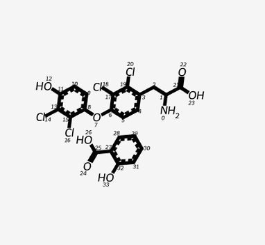 NC(Cc1ccc(Oc2ccc(O)c(Cl)c2Cl)c(Cl)c1Cl)C(=O)O.O=C(O)c1ccccc1O